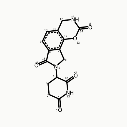 O=C1CCC(N2Cc3c(ccc4c3OC(=O)NC4)C2=O)C(=O)N1